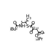 CCC(C)C(=O)NCC(C)SC(=O)C(=O)CC(=O)OC(C)C